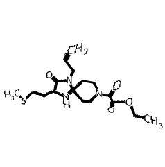 C=CCN1C(=O)C(CCSC)NC12CCN(C(=O)C(=O)OCC)CC2